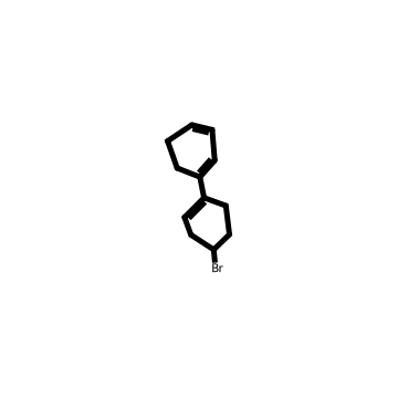 BrC1CC=C(C2=CC=CCC2)CC1